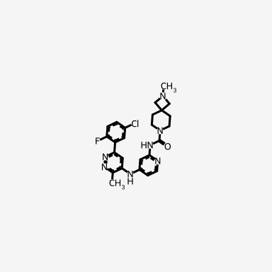 Cc1nnc(-c2cc(Cl)ccc2F)cc1Nc1ccnc(NC(=O)N2CCC3(CC2)CN(C)C3)c1